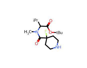 CC(C)C(C(=O)OC(C)(C)C)N(C)C(=O)C1(F)CCNCC1